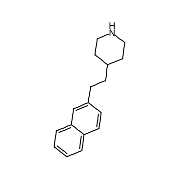 c1ccc2cc(CCC3CCNCC3)ccc2c1